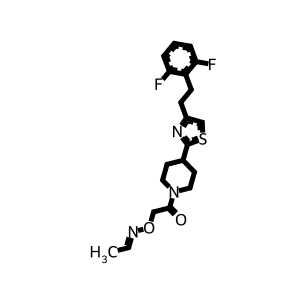 CC=NOCC(=O)N1CCC(c2nc(CCc3c(F)cccc3F)cs2)CC1